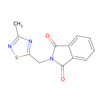 Cc1nsc(CN2C(=O)c3ccccc3C2=O)n1